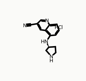 Cl.N#Cc1cnc2cccc(N[C@H]3CCNC3)c2c1